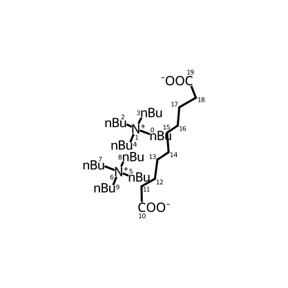 CCCC[N+](CCCC)(CCCC)CCCC.CCCC[N+](CCCC)(CCCC)CCCC.O=C([O-])CCCCCCCCC(=O)[O-]